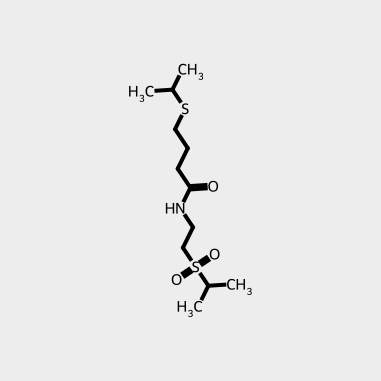 CC(C)SCCCC(=O)NCCS(=O)(=O)C(C)C